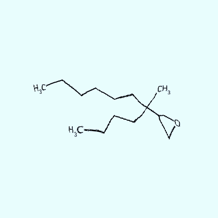 CCCCCCC(C)(CCCC)C1CO1